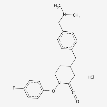 CN(C)Cc1ccc(CC2CCN(Oc3ccc(F)cc3)C(=C=O)C2)cc1.Cl